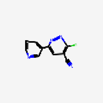 N#Cc1cc(-c2cccnc2)nnc1Cl